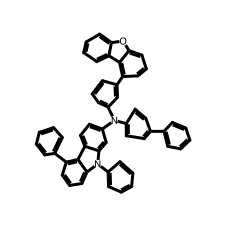 c1ccc(-c2ccc(N(c3cccc(-c4cccc5oc6ccccc6c45)c3)c3ccc4c5c(-c6ccccc6)cccc5n(-c5ccccc5)c4c3)cc2)cc1